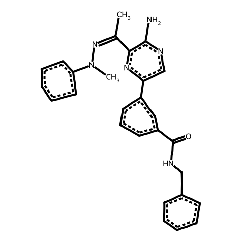 CC(=NN(C)c1ccccc1)c1nc(-c2cccc(C(=O)NCc3ccccc3)c2)cnc1N